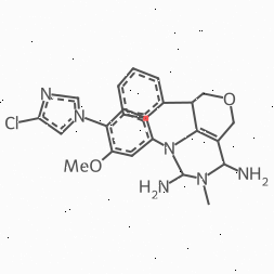 COc1cc(N2C3=C(COCC3c3ccccc3)C(N)N(C)C2N)ccc1-n1cnc(Cl)c1